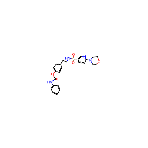 O=C(Nc1ccccc1)Oc1ccc(CCNS(=O)(=O)c2ccc(N3CCOCC3)nc2)cc1